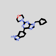 c1ccc(Cn2cnc3c(-c4ccc5nc[nH]c5c4)nc(N4CCOCC4)nc32)cc1